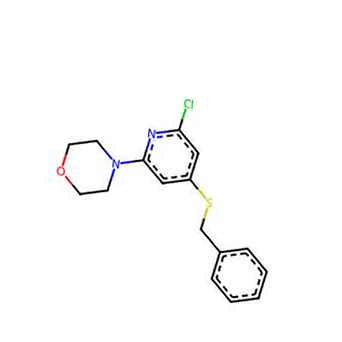 Clc1cc(SCc2ccccc2)cc(N2CCOCC2)n1